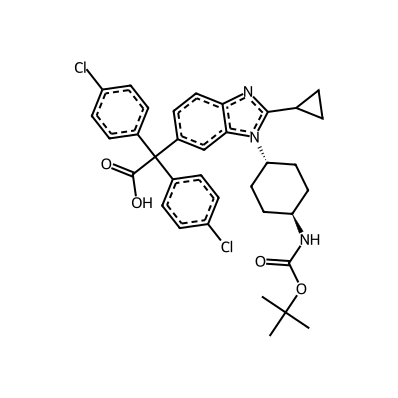 CC(C)(C)OC(=O)N[C@H]1CC[C@H](n2c(C3CC3)nc3ccc(C(C(=O)O)(c4ccc(Cl)cc4)c4ccc(Cl)cc4)cc32)CC1